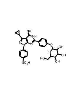 N=c1[nH]c(-c2ccc(OC3OC(CO)C(O)C(O)C3O)cc2)nc2c1c(C1CC1)nn2-c1ccc(S(=O)(=O)O)cc1